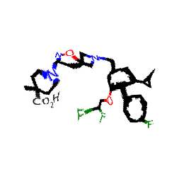 CC1(C(=O)O)CCN(C2=NOC3(C2)CN(Cc2cc(OCC(F)F)c(-c4ccc(F)cc4)c(C4CC4)c2)C3)CC1